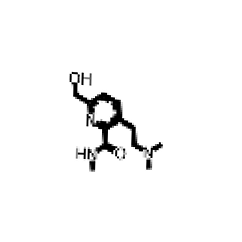 CNC(=O)c1nc(CO)ccc1CCN(C)C